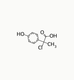 CC(Cl)(C(=O)O)c1ccc(O)cc1